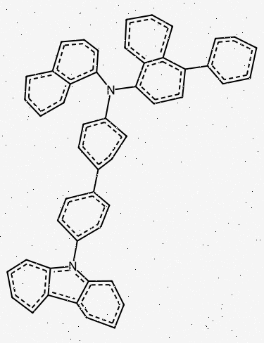 c1ccc(-c2ccc(N(c3ccc(-c4ccc(-n5c6ccccc6c6ccccc65)cc4)cc3)c3cccc4ccccc34)c3ccccc23)cc1